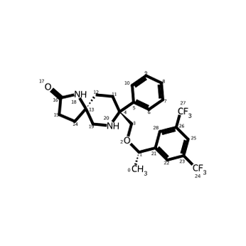 C[C@H](OC[C@]1(c2ccccc2)CC[C@@]2(CCC(=O)N2)CN1)c1cc(C(F)(F)F)cc(C(F)(F)F)c1